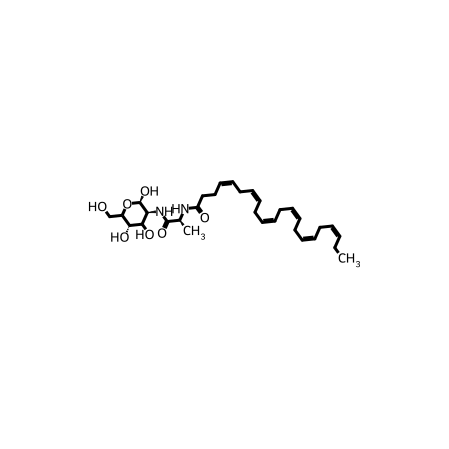 CC/C=C\C/C=C\C/C=C\C/C=C\C/C=C\C/C=C\CCC(=O)N[C@@H](C)C(=O)N[C@H]1C(O)[C@H](O)C(CO)O[C@H]1O